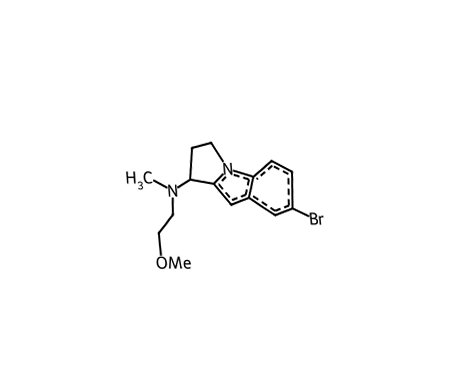 COCCN(C)C1CCn2c1cc1cc(Br)ccc12